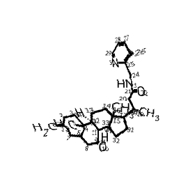 C=C1CCC2(C)C(C1)CC(=O)C1[C@@H]2CCC2(C)C([C@H](C)CC(=O)NCc3ccccn3)CC[C@@H]12